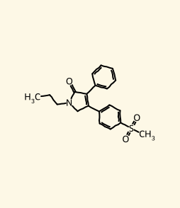 CCCN1CC(c2ccc(S(C)(=O)=O)cc2)=C(c2ccccc2)C1=O